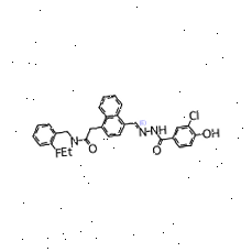 CCN(Cc1ccccc1F)C(=O)Cc1ccc(/C=N/NC(=O)c2ccc(O)c(Cl)c2)c2ccccc12